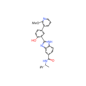 COc1ncccc1-c1ccc(O)c(-c2nc3cc(C(=O)N[C@H](C)C(C)C)ccc3[nH]2)c1